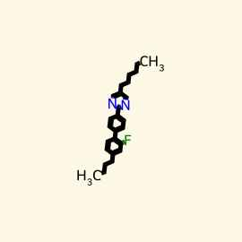 CCCCCCc1cnc(-c2ccc(-c3ccc(CCCC)cc3F)cc2)nc1